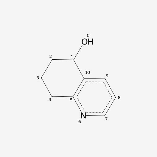 OC1CCCc2ncccc21